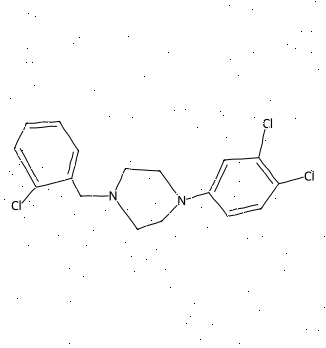 Clc1ccc(N2CCN(Cc3ccccc3Cl)CC2)cc1Cl